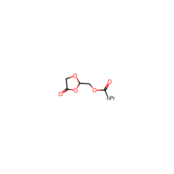 CCCC(=O)OCC1OCC(=O)O1